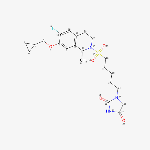 C[C@@H]1c2cc(OCC3CC3)c(F)cc2CCN1S(=O)(=O)CCCCCN1CC(=O)NC1=O